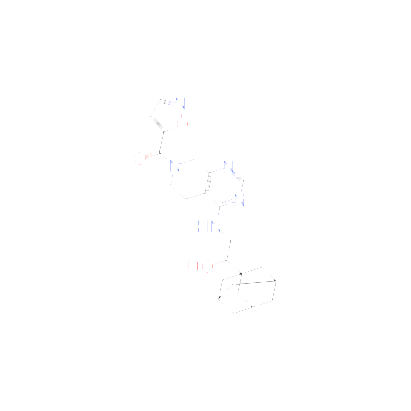 O=C(c1ccno1)N1CCc2c(ncnc2NCC(O)C23CC4CC(CC(C4)C2)C3)C1